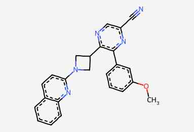 COc1cccc(-c2nc(C#N)cnc2C2CN(c3ccc4ccccc4n3)C2)c1